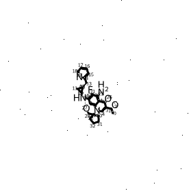 CC(=O)c1cn2c3c(c(N[C@H]4C[C@H]4Cc4ccccn4)c(F)c(N)c3c1=O)OCC21CCCC1